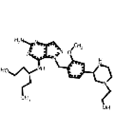 CCC[C@@H](CCO)Nc1nc(N)nc2cnn(Cc3ccc(C4CN(CCO)CCN4)cc3OC)c12